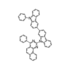 c1ccc(-c2nc(-n3c4ccccc4c4ccc(-c5ccc6c(c5)c5ccccc5n6-c5ccccc5)cc43)nc3c2ccc2ccccc23)cc1